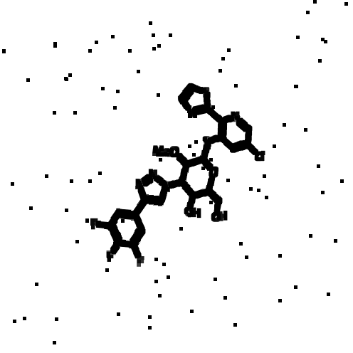 COC1C(Sc2cc(Cl)cnc2-c2nccs2)OC(CO)C(O)C1n1cc(-c2cc(F)c(F)c(F)c2)nn1